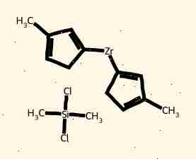 CC1=CC[C]([Zr][C]2=CC(C)=CC2)=C1.C[Si](C)(Cl)Cl